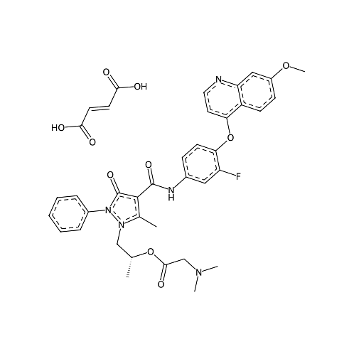 COc1ccc2c(Oc3ccc(NC(=O)c4c(C)n(C[C@@H](C)OC(=O)CN(C)C)n(-c5ccccc5)c4=O)cc3F)ccnc2c1.O=C(O)/C=C/C(=O)O